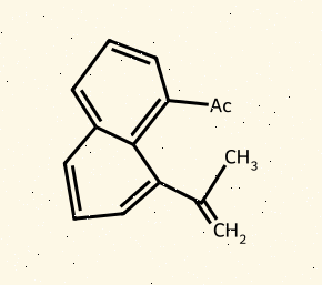 C=C(C)c1cccc2cccc(C(C)=O)c12